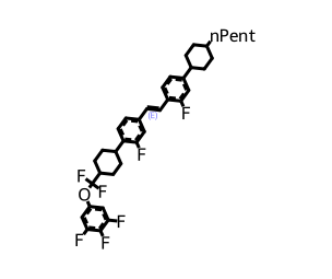 CCCCCC1CCC(c2ccc(/C=C/c3ccc(C4CCC(C(F)(F)Oc5cc(F)c(F)c(F)c5)CC4)c(F)c3)c(F)c2)CC1